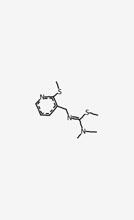 CSC(=NCc1cccnc1SC)N(C)C